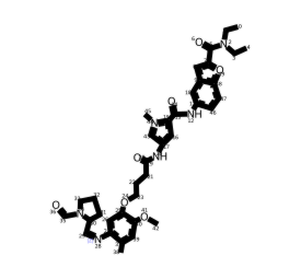 CCN(CC)C(=O)c1cc2cc(NC(=O)c3cc(NC(=O)CCCOc4cc(/N=C\C5CCCN5C=O)c(C)cc4OC)cn3C)ccc2o1